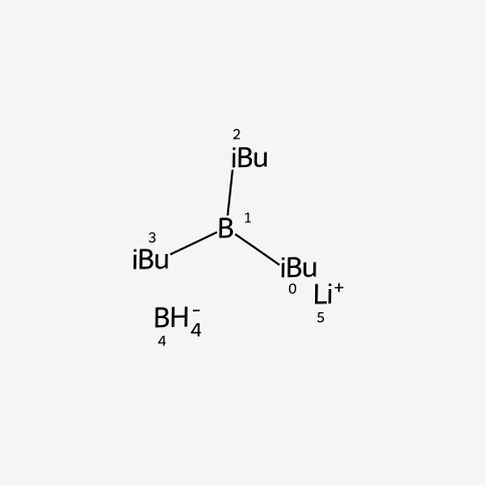 CCC(C)B(C(C)CC)C(C)CC.[BH4-].[Li+]